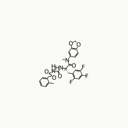 Cc1ccccc1S(=O)(=O)NC(=O)N[C@@H](Cc1cc(F)c(F)cc1F)C(=O)N(C)c1ccc2c(c1)OCO2